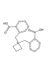 O=C(O)c1ccccc1C[Si]1(Cc2ccccc2C(=O)O)CCC1